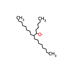 CCCCCCCCC(CCCCCCCC)C([O])CCCCC